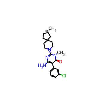 C[C@H]1CCC2(CCN(c3nc(N)c(-c4cccc(Cl)c4)c(=O)n3C)CC2)C1